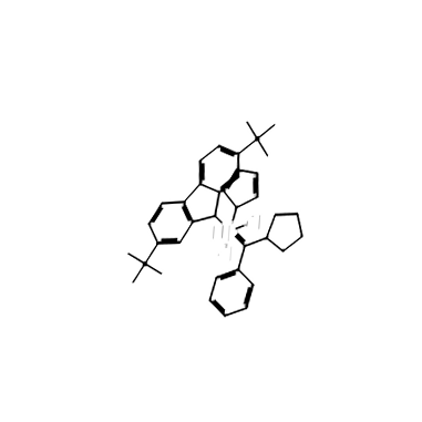 CC(C)(C)c1ccc2c(c1)[CH]([Hf]([Cl])([Cl])(=[C](c1ccccc1)C1CCCC1)[CH]1C=CC=C1)c1cc(C(C)(C)C)ccc1-2